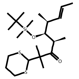 C/C=C/[C@H](C)[C@H](O[Si](C)(C)C(C)(C)C)[C@@H](C)C(=O)C(C)(C)C1SCCCS1